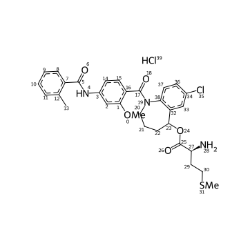 COc1cc(NC(=O)c2ccccc2C)ccc1C(=O)N1CCCC(OC(=O)[C@@H](N)CCSC)c2cc(Cl)ccc21.Cl